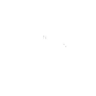 S=C1C=Cc2cccnc2[N]1